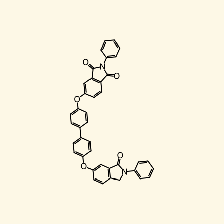 O=C1c2cc(Oc3ccc(-c4ccc(Oc5ccc6c(c5)C(=O)N(c5ccccc5)C6=O)cc4)cc3)ccc2CN1c1ccccc1